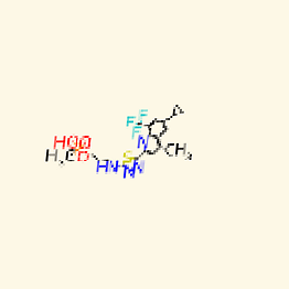 Cc1cc(-c2nnc(NCCCOP(C)(=O)O)s2)nc2c(C(F)(F)F)cc(C3CC3)cc12